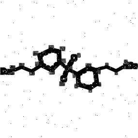 CCCCCCCCCCCCc1cccc(S(=O)(=O)c2cccc(CCCCCCCCCCCC)c2)c1